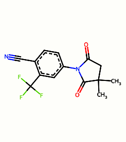 CC1(C)CC(=O)N(c2ccc(C#N)c(C(F)(F)F)c2)C1=O